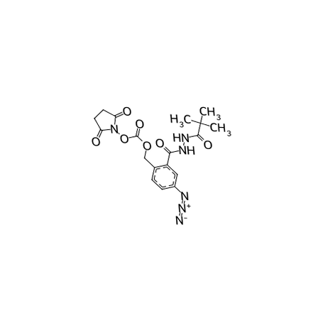 CC(C)(C)C(=O)NNC(=O)c1cc(N=[N+]=[N-])ccc1COC(=O)ON1C(=O)CCC1=O